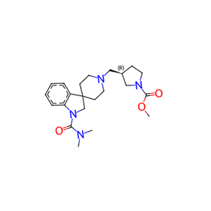 COC(=O)N1CC[C@H](CN2CCC3(CC2)CN(C(=O)N(C)C)c2ccccc23)C1